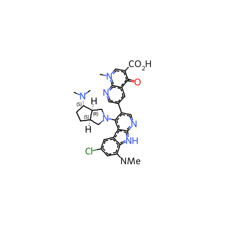 CNc1cc(Cl)cc2c1[nH]c1ncc(-c3cnc4c(c3)c(=O)c(C(=O)O)cn4C)c(N3C[C@H]4CC[C@H](N(C)C)[C@H]4C3)c12